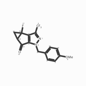 COc1ccc(Cn2nc(C(F)(F)F)c3c2C(=O)C2CC32F)cc1